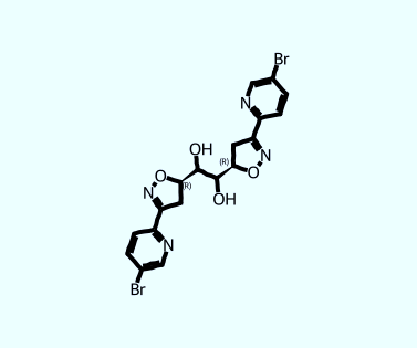 OC(C(O)[C@H]1CC(c2ccc(Br)cn2)=NO1)[C@H]1CC(c2ccc(Br)cn2)=NO1